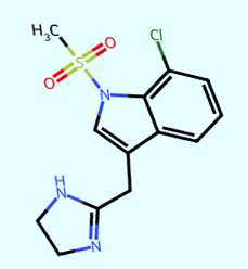 CS(=O)(=O)n1cc(CC2=NCCN2)c2cccc(Cl)c21